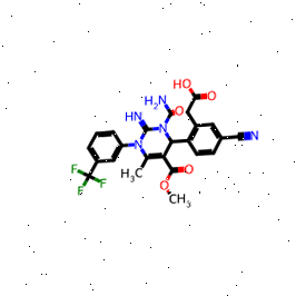 COC(=O)C1=C(C)N(c2cccc(C(F)(F)F)c2)C(=N)N(C(N)=O)C1c1ccc(C#N)cc1CC(=O)O